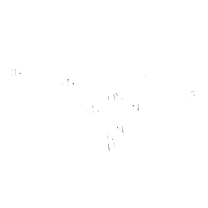 Fc1cccc(-c2cccc3[nH]c(-c4n[nH]c5ccc(-c6cncc(CC7CCNCC7)c6)nc45)nc23)c1